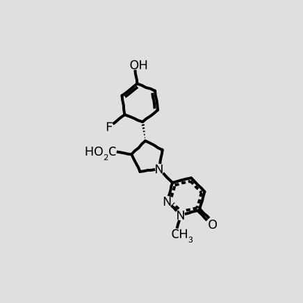 Cn1nc(N2CC(C(=O)O)[C@H](C3C=CC(O)=CC3F)C2)ccc1=O